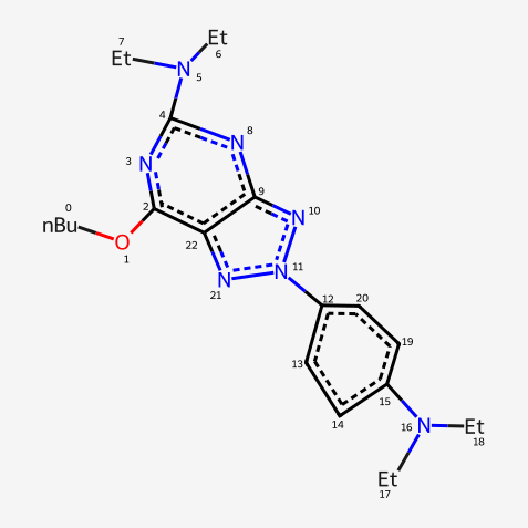 CCCCOc1nc(N(CC)CC)nc2nn(-c3ccc(N(CC)CC)cc3)nc12